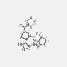 O=C(c1ccc2c(c1)N=C(c1c(F)cccc1Cl)Nc1cn[nH]c1-2)N1CCOCC1